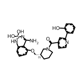 NC1=NS(O)(O)Nc2cccc(OC[C@H]3CCCN(C(=O)c4ccnc(-c5ccccc5O)c4)C3)c21